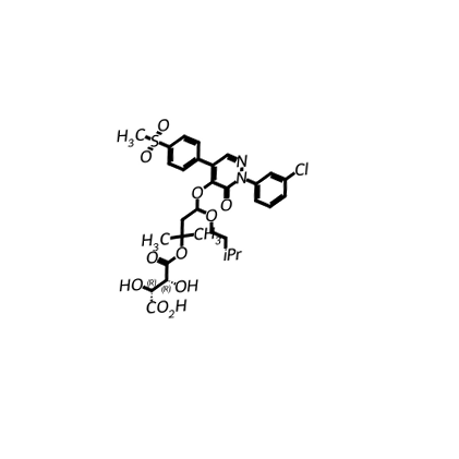 CC(C)CCOC(CC(C)(C)OC(=O)[C@H](O)[C@@H](O)C(=O)O)Oc1c(-c2ccc(S(C)(=O)=O)cc2)cnn(-c2cccc(Cl)c2)c1=O